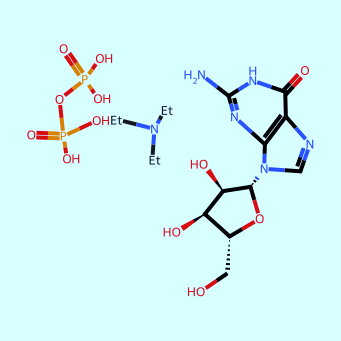 CCN(CC)CC.Nc1nc2c(ncn2[C@@H]2O[C@H](CO)[C@@H](O)[C@H]2O)c(=O)[nH]1.O=P(O)(O)OP(=O)(O)O